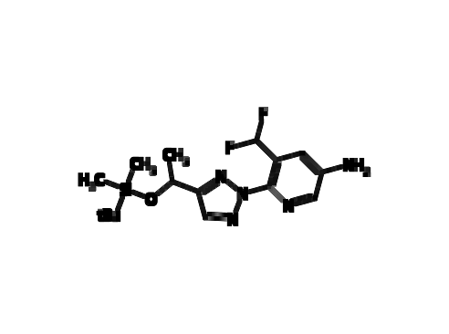 CC(O[Si](C)(C)C(C)(C)C)c1cnn(-c2ncc(N)cc2C(F)F)n1